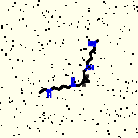 CCNCCCCNC[C@@H]1C[C@@H]1CNCCCCNC